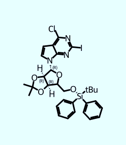 CC1(C)O[C@@H]2[C@H](O1)C(CO[Si](c1ccccc1)(c1ccccc1)C(C)(C)C)O[C@H]2n1ccc2c(Cl)nc(I)nc21